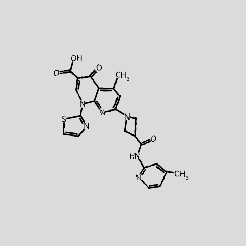 Cc1ccnc(NC(=O)C2CN(c3cc(C)c4c(=O)c(C(=O)O)cn(-c5nccs5)c4n3)C2)c1